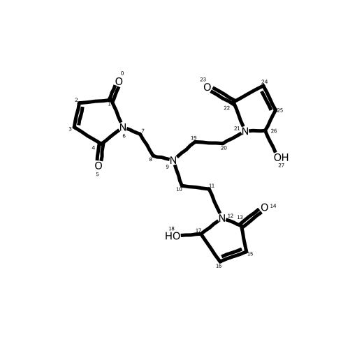 O=C1C=CC(=O)N1CCN(CCN1C(=O)C=CC1O)CCN1C(=O)C=CC1O